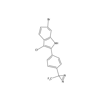 FC(F)(F)C1(c2ccc(-c3[nH]c4cc(Br)ccc4c3Cl)cc2)N=N1